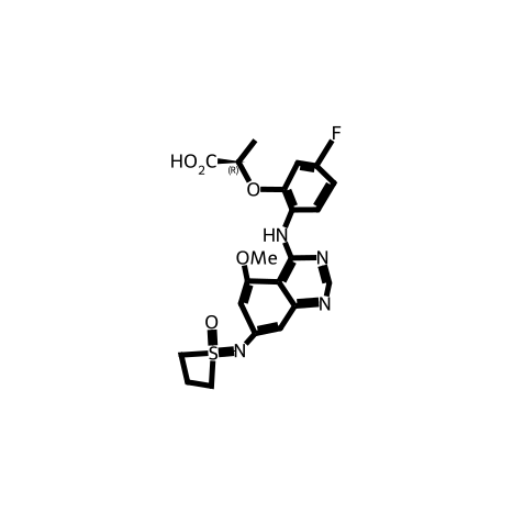 COc1cc(N=S2(=O)CCC2)cc2ncnc(Nc3ccc(F)cc3O[C@H](C)C(=O)O)c12